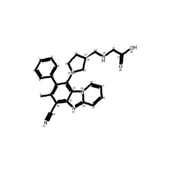 Cc1c(-c2ccccc2)c(N2CC[C@@H](CNCC(=O)O)C2)c2c(nc3ccccn32)c1C#N